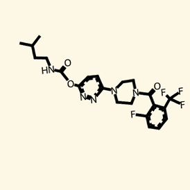 CC(C)CCNC(=O)Oc1ccc(N2CCN(C(=O)c3c(F)cccc3C(F)(F)F)CC2)nn1